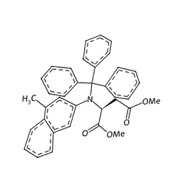 COC(=O)C[C@@H](C(=O)OC)N(c1cc(C)c2ccccc2c1)C(c1ccccc1)(c1ccccc1)c1ccccc1